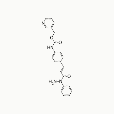 NN(C(=O)C=Cc1ccc(NC(=O)OCc2cccnc2)cc1)c1ccccc1